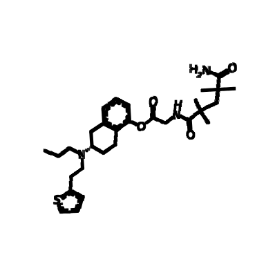 CCCN(CCc1cccs1)[C@H]1CCc2c(cccc2OC(=O)CNC(=O)C(C)(C)CC(C)(C)C(N)=O)C1